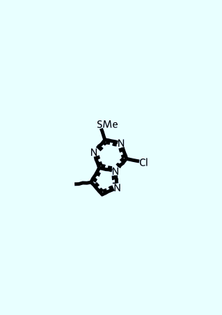 CSc1nc(Cl)n2ncc(C)c2n1